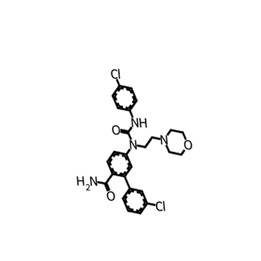 NC(=O)c1ccc(N(CCN2CCOCC2)C(=O)Nc2ccc(Cl)cc2)cc1-c1cccc(Cl)c1